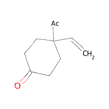 C=CC1(C(C)=O)CCC(=O)CC1